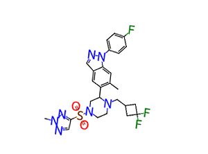 Cc1cc2c(cnn2-c2ccc(F)cc2)cc1C1CN(S(=O)(=O)c2cnn(C)n2)CCN1CC1CC(F)(F)C1